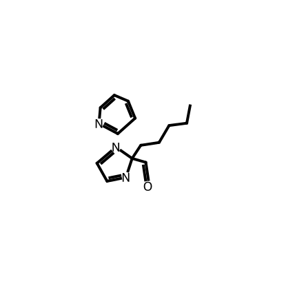 CCCCCC1(C=O)N=CC=N1.c1ccncc1